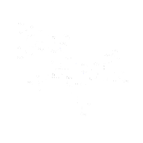 CCN1/C(=C/C=C2C=C(/C=C/C3(C)N(CC)c4ccc5c(S(=O)(=O)O)cc(S(=O)(=O)O)cc5c4C3(C)C)CC(C(=O)NCCCCCC(=O)O)(C(=O)NCCS(=O)(=O)O)C/2)C(C)(C)c2c1ccc1c(S(=O)(=O)O)cc(S(=O)(=O)O)cc21